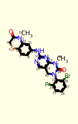 CN1C(=O)CSc2ccc(Nc3ncc4c(n3)N(C)C(=O)N(c3c(F)cccc3Br)C4)cc21